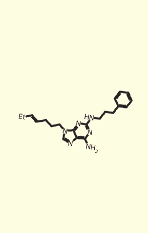 CC/C=C/CCCn1cnc2c(N)nc(NCCCc3ccccc3)nc21